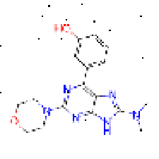 CN(C)c1nc2c(-c3cccc(O)c3)nc(N3CCOCC3)nc2[nH]1